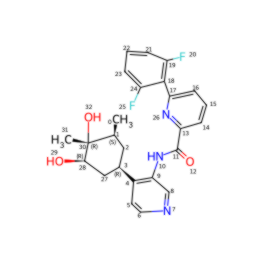 C[C@H]1C[C@@H](c2ccncc2NC(=O)c2cccc(-c3c(F)cccc3F)n2)C[C@@H](O)[C@]1(C)O